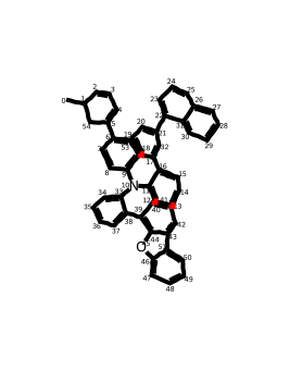 CC1C=CC=C(c2ccc(N(c3ccccc3-c3cccc(-c4cccc5ccccc45)c3)c3ccccc3-c3cccc4c3oc3ccccc34)cc2)C1